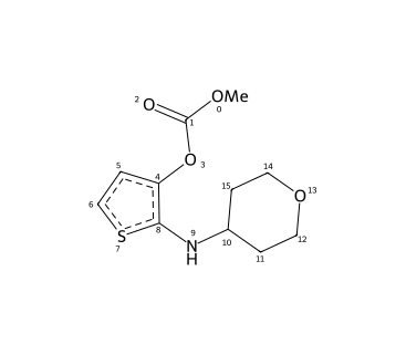 COC(=O)Oc1ccsc1NC1CCOCC1